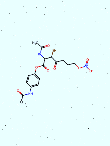 CC(=O)Nc1ccc(OC(=O)C(NC(C)=O)C(S)C(=O)CCCO[N+](=O)[O-])cc1